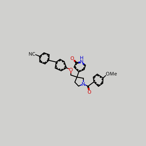 COc1ccc(C(=O)N2CCC(COc3ccc(-c4ccc(C#N)cc4)cc3)(c3cc[nH]c(=O)c3)C2)cc1